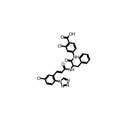 O=C(/C=C/c1cc(Cl)ccc1-n1cnnn1)NC(Cc1ccccc1)C(=O)Nc1ccc(C(=O)O)c(Cl)c1